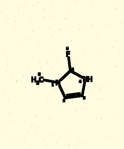 CN1C=CNC1F